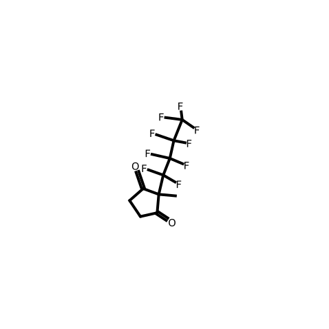 CC1(C(F)(F)C(F)(F)C(F)(F)C(F)(F)F)C(=O)CCC1=O